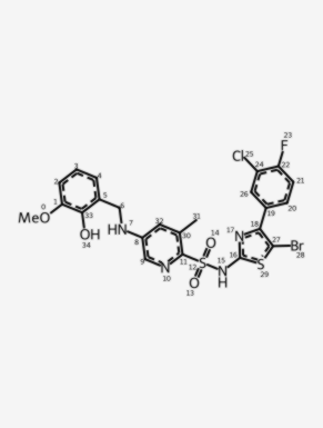 COc1cccc(CNc2cnc(S(=O)(=O)Nc3nc(-c4ccc(F)c(Cl)c4)c(Br)s3)c(C)c2)c1O